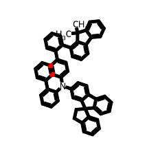 CC1(C)c2ccccc2-c2cccc(-c3ccccc3-c3ccc(N(c4ccc5c(c4)C4(CCc6ccccc64)c4ccccc4-5)c4ccccc4-c4ccccc4)cc3)c21